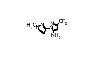 Cn1ccc(-n2nc(C(F)(F)F)cc2N)n1